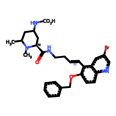 CC1CC(NC(=O)O)C[C@@H](C(=O)NCC/C=C/c2c(OCc3ccccc3)ccc3ncc(Br)cc23)N1C